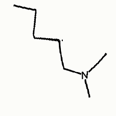 CCC[CH]CN(C)C